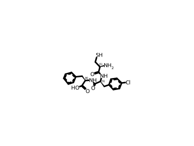 N[C@H](CS)C(=O)N[C@@H](Cc1ccc(Cl)cc1)C(=O)N[C@H](Cc1ccccc1)C(=O)O